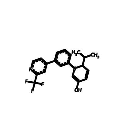 CC(C)C1C=CC(O)=CN1c1cccc(-c2ccnc(C(F)(F)F)c2)c1